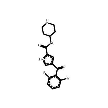 O=C(NC1CCNCC1)c1cc(C(=O)c2c(F)cccc2Br)c[nH]1